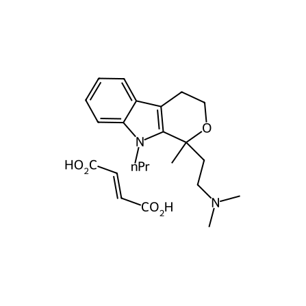 CCCn1c2c(c3ccccc31)CCOC2(C)CCN(C)C.O=C(O)C=CC(=O)O